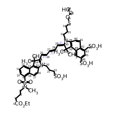 CCOC(=O)CCCN(C)S(=O)(=O)c1cccc2c3c(ccc12)[N+](CCCS(=O)(=O)O)=C(/C=C/C=C/C=C1/N(CCCSOOO)c2ccc4c(S(=O)(=O)O)cc(S(=O)(=O)O)cc4c2C1(C)C)C3(C)C